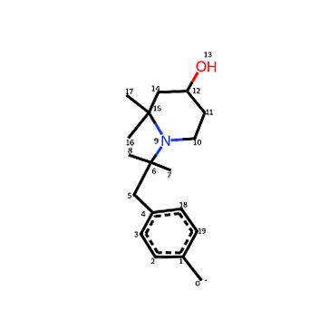 [CH2]c1ccc(CC(C)(C)N2CCC(O)CC2(C)C)cc1